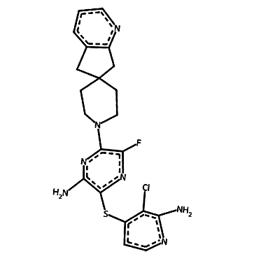 Nc1nc(N2CCC3(CC2)Cc2cccnc2C3)c(F)nc1Sc1ccnc(N)c1Cl